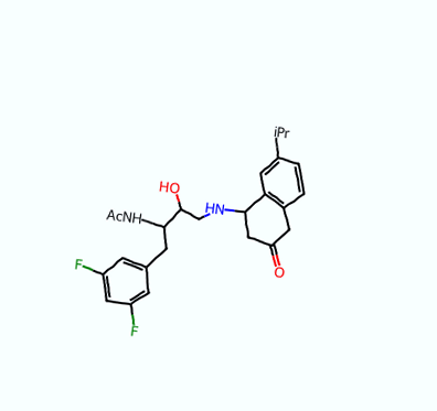 CC(=O)NC(Cc1cc(F)cc(F)c1)C(O)CNC1CC(=O)Cc2ccc(C(C)C)cc21